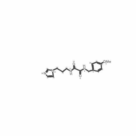 COc1ccc(CNC(=O)C(=O)NCCCn2ccnc2)cc1